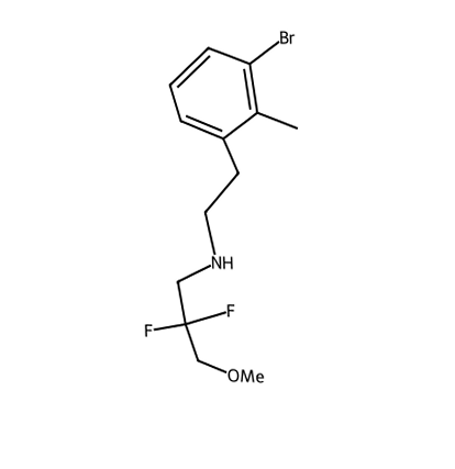 COCC(F)(F)CNCCc1cccc(Br)c1C